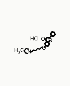 CC1CCN(CCCCCCOc2ccc3oc(-c4ccccc4)cc(=O)c3c2)CC1.Cl